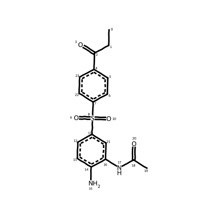 CCC(=O)c1ccc(S(=O)(=O)c2ccc(N)c(NC(C)=O)c2)cc1